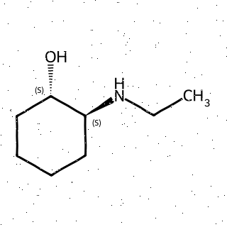 CCN[C@H]1CCCC[C@@H]1O